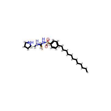 CCCCCCCCCCCCc1ccc(S(=O)(=O)NC(=S)NC[C@@H]2CCCN2)cc1